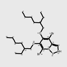 CCCCC(CC)COC1=C(Br)C2=CNSN2C(Br)=C1OCC(CC)CCCC